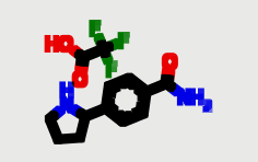 NC(=O)c1ccc(C2CCCN2)cc1.O=C(O)C(F)(F)F